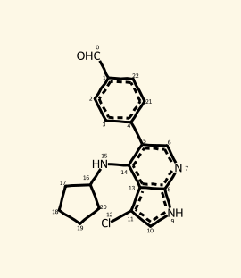 O=Cc1ccc(-c2cnc3[nH]cc(Cl)c3c2NC2CCCC2)cc1